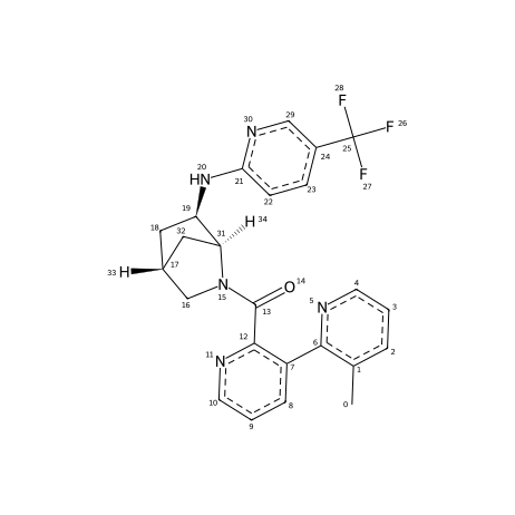 Cc1cccnc1-c1cccnc1C(=O)N1C[C@@H]2C[C@@H](Nc3ccc(C(F)(F)F)cn3)[C@@H]1C2